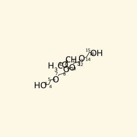 COC.OCCOCCOOCCOCCO